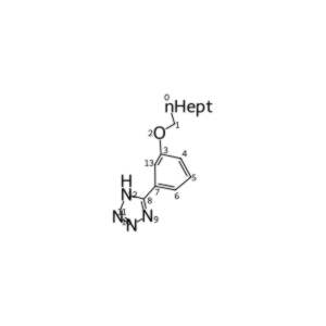 CCCCCCCCOc1cccc(-c2nnn[nH]2)c1